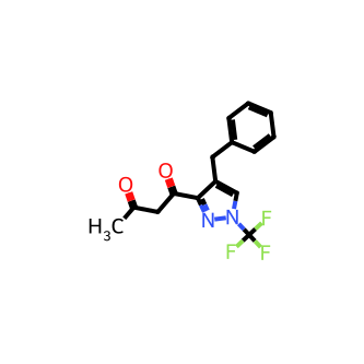 CC(=O)CC(=O)c1nn(C(F)(F)F)cc1Cc1ccccc1